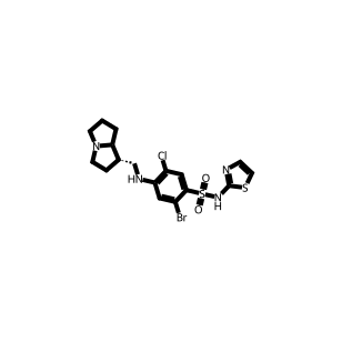 O=S(=O)(Nc1nccs1)c1cc(Cl)c(NC[C@@H]2CCN3CCCC23)cc1Br